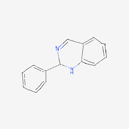 C1=NC(c2ccccc2)Nc2ccccc21